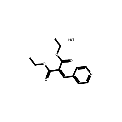 CCOC(=O)C(=Cc1ccncc1)C(=O)OCC.Cl